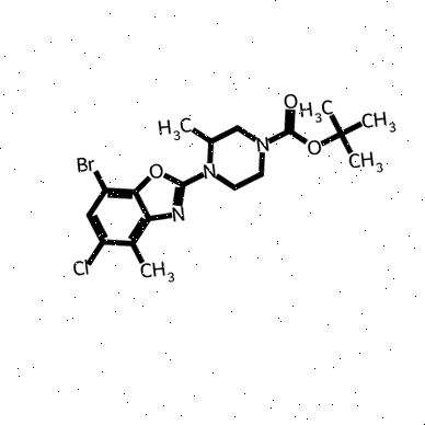 Cc1c(Cl)cc(Br)c2oc(N3CCN(C(=O)OC(C)(C)C)CC3C)nc12